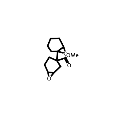 COC(=O)C1(C23CCCCC2O3)CCC2OC2C1